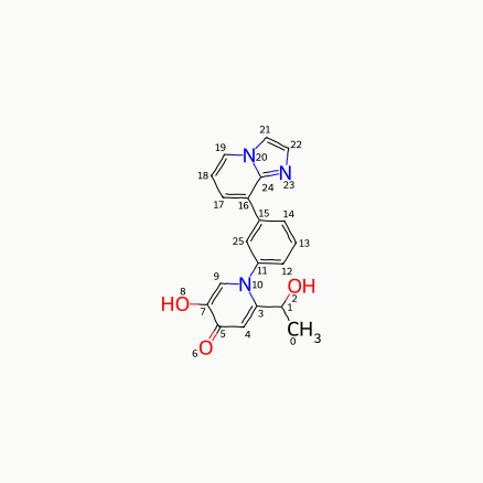 CC(O)c1cc(=O)c(O)cn1-c1cccc(-c2cccn3ccnc23)c1